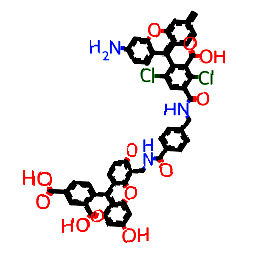 C=c1ccc2c(c1)Oc1cc(N)ccc1C=2c1c(Cl)cc(C(=O)NCc2ccc(C(=O)NCc3c4oc5cc(O)ccc5c(-c5ccc(C(=O)O)cc5C(=O)O)c-4ccc3=O)cc2)c(Cl)c1C(=O)O